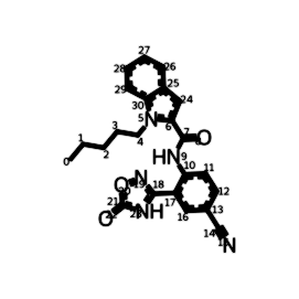 CCCCCn1c(C(=O)Nc2ccc(C#N)cc2-c2noc(=O)[nH]2)cc2ccccc21